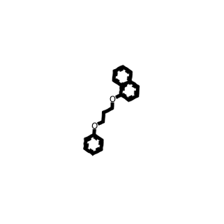 [c]1ccc(OCCCOc2cccc3ccccc23)cc1